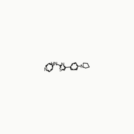 c1cc(Nc2nc(-c3ccc(N4CCCC4)cc3)cs2)ccn1